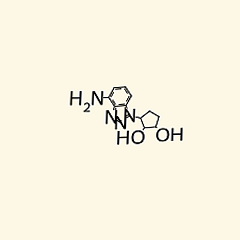 Nc1cccc2c1nnn2C1CCC(O)C1O